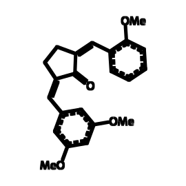 COc1cc(C=C2CCC(=Cc3ccccc3OC)C2=O)cc(OC)c1